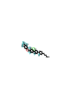 CCCCCC1C=C(F)[C@@H](C2=CC(Cl)C(C3=CC(F)[C@H](C(F)(F)O[C@H]4CC(F)C(C(F)(F)F)[C@@H](F)C4)C(F)=C3)C(F)=C2)CC1